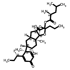 CCCC1O[C@@H]2C[C@H]3C[C@@](F)([C@@]4(C)C=CC(=O)C=C4[C@@H](F)CC)[C@@H](O)C[C@]3(C)[C@]2(C(=O)COC(=O)[C@@H](N)CC(C)C)O1